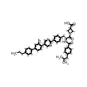 CCCc1ccc(-c2ccc(-c3cnc(-c4ccc(C[C@H](NC(=O)c5ccc(CC(C)C)cc5)C(=O)N5CC(C(=O)O)C5)cc4)nc3)c(F)c2)cc1